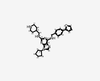 c1coc(-c2ccc(CNc3nc(NCC4CCNCC4)nc4c3ncn4C3CCCC3)cc2)c1